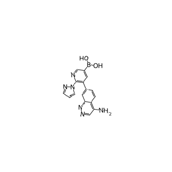 Nc1cnnc2cc(-c3cc(B(O)O)cnc3-n3cccn3)ccc12